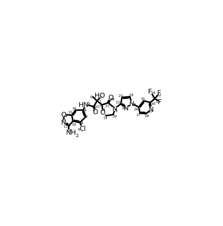 CC(O)(C(=O)Nc1cc(Cl)c2c(N)noc2c1)C1OCCN(c2ccn(-c3ccnc(C(F)(F)F)c3)n2)C1=O